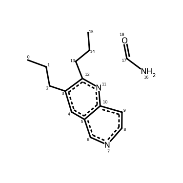 CCCc1cc2cnccc2nc1CCC.NC=O